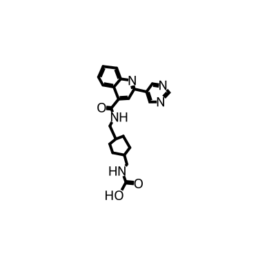 O=C(O)NCC1CCC(CNC(=O)c2cc(-c3cncnc3)nc3ccccc23)CC1